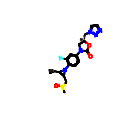 CCC1C(C[S+](C)[O-])N1c1ccc(N2C[C@H](Cn3ccnn3)OC2=O)cc1F